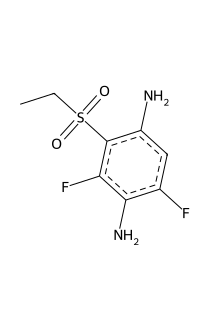 CCS(=O)(=O)c1c(N)cc(F)c(N)c1F